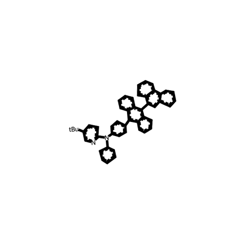 CC(C)(C)c1ccc(N(c2ccccc2)c2ccc(-c3c4ccccc4c(-c4cc5ccccc5c5ccccc45)c4ccccc34)cc2)nc1